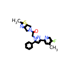 Cc1nc2c(s1)CN(C(=O)Cn1nc(-c3cc(C)c(F)cn3)cc1-c1ccccc1)C2